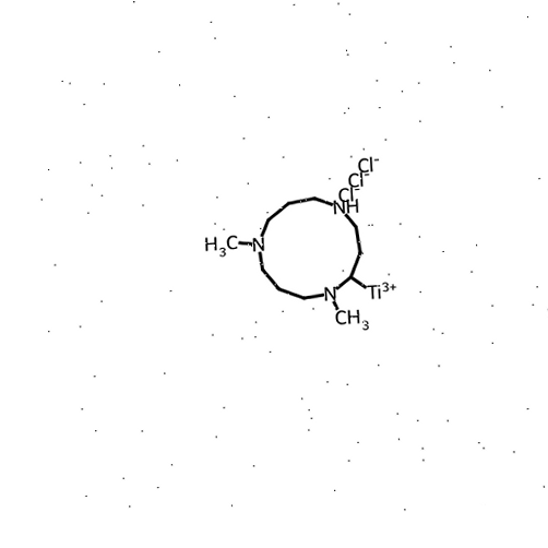 CN1CCCNCC[CH]([Ti+3])N(C)CCC1.[Cl-].[Cl-].[Cl-]